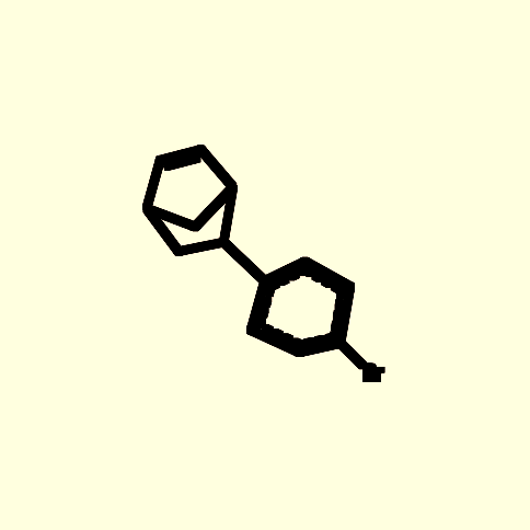 Brc1ccc(C2CC3C=CC2C3)cc1